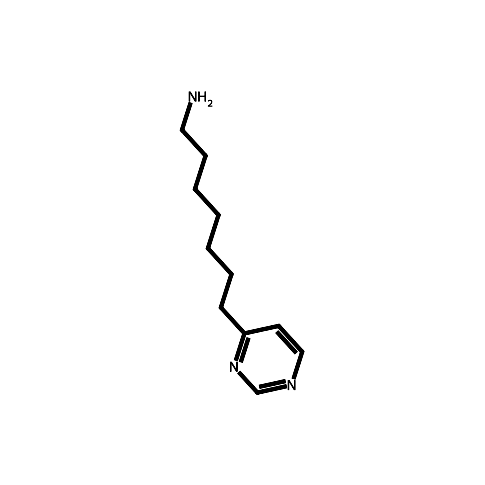 NCCCCCCCc1ccncn1